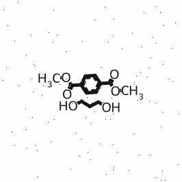 COC(=O)c1ccc(C(=O)OC)cc1.OCCCO